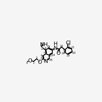 COCCOc1cc2c(SN)cc(NC(=O)Cc3ccccc3Cl)cc2cn1